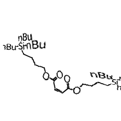 CCCC[Si](CCCC)(CCCC)CCCCOC(=O)/C=C\C(=O)OCCCC[Si](CCCC)(CCCC)CCCC